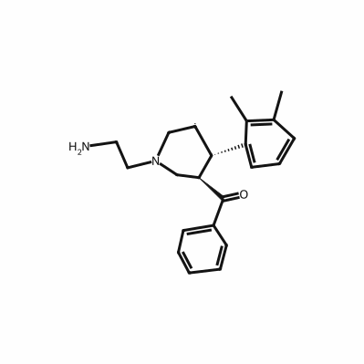 Cc1cccc([C@H]2[CH]CN(CCN)C[C@@H]2C(=O)c2ccccc2)c1C